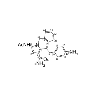 CC(=O)NC1SC(C(N)=O)=C(CCc2ccc(N)cc2)N1Cc1ccccc1